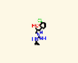 CC1CN(C(=N)NC2CC2)N=C1c1cccc(Cl)c1O